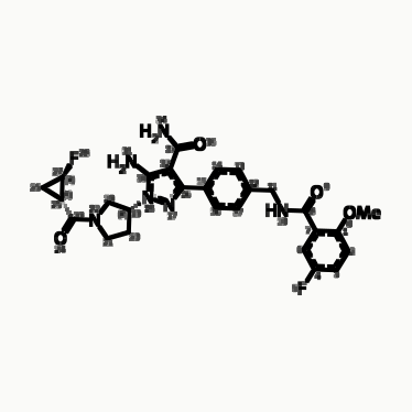 COc1ccc(F)cc1C(=O)NCc1ccc(-c2nn([C@@H]3CCN(C(=O)[C@@H]4C[C@H]4F)C3)c(N)c2C(N)=O)cc1